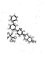 O=C(O)C(F)(F)F.c1ccc(-c2cccc(-c3ccc(N4CC5CNCC5C4)cn3)c2)cc1